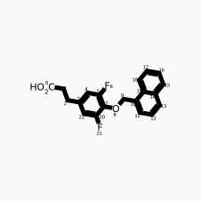 O=C(O)CCc1cc(F)c(OCc2cccc3ccccc23)c(F)c1